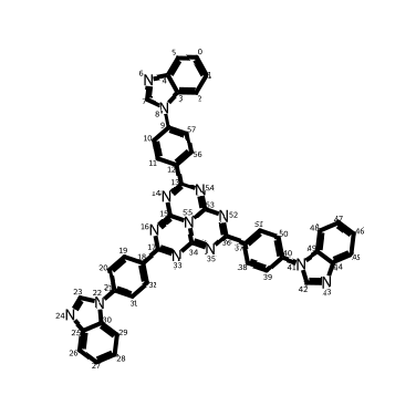 c1ccc2c(c1)ncn2-c1ccc(C2=NC3=NC(c4ccc(-n5cnc6ccccc65)cc4)=NC4=NC(c5ccc(-n6cnc7ccccc76)cc5)=NC(=N2)N34)cc1